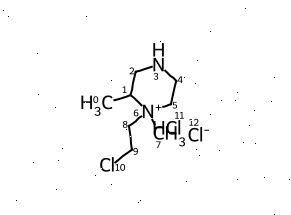 CC1CNCC[N+]1(C)CCCl.Cl.[Cl-]